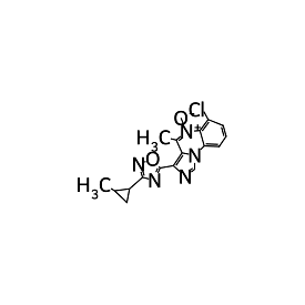 Cc1c2c(-c3nc(C4CC4C)no3)ncn2c2cccc(Cl)c2[n+]1[O-]